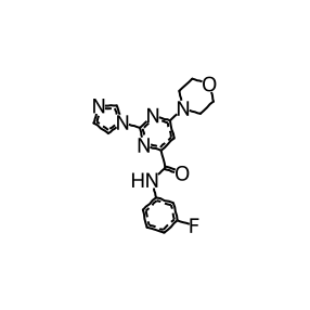 O=C(Nc1cccc(F)c1)c1cc(N2CCOCC2)nc(-n2ccnc2)n1